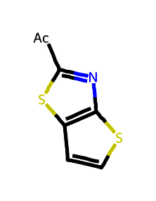 CC(=O)c1nc2sccc2s1